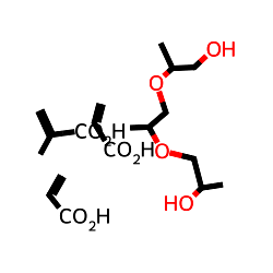 C=C(C)C(=O)O.C=CC(=O)O.C=CC(=O)O.CC(O)COC(C)COC(C)CO